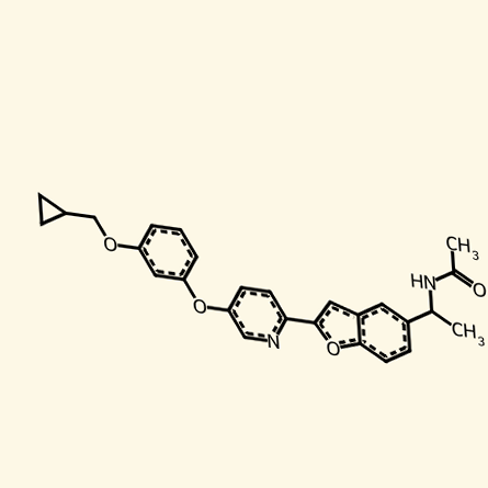 CC(=O)NC(C)c1ccc2oc(-c3ccc(Oc4cccc(OCC5CC5)c4)cn3)cc2c1